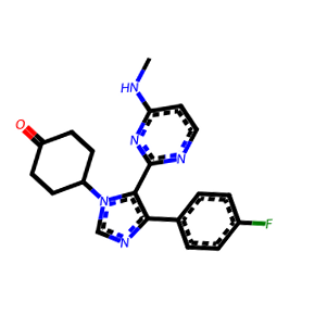 CNc1ccnc(-c2c(-c3ccc(F)cc3)ncn2C2CCC(=O)CC2)n1